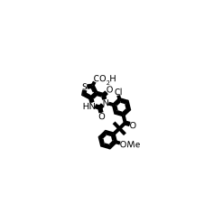 COc1ccccc1C(C)(C)C(=O)c1ccc(Cl)c(-n2c(=O)[nH]c3csc(C(=O)O)c3c2=O)c1